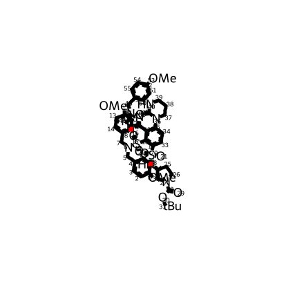 COc1ccc(CN(Cc2ccc(OC)cc2)S(=O)(=O)c2c(S(=O)(=O)NC3CCN(C(=O)OC(C)(C)C)C3)ccc(N3CCCNC3=O)c2-c2nnn(Cc3ccc(OC)cc3)n2)cc1